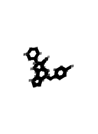 O=c1c2nn(Cc3ccc(I)cc3)c3ccsc3c-2nn1C1CCCOC1